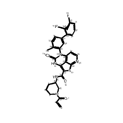 C=CC(=O)N1CCCC(NC(=O)c2sc3nccc4c3c2NC(=O)N4c2cc(-c3cccc(F)c3F)ccc2C)C1